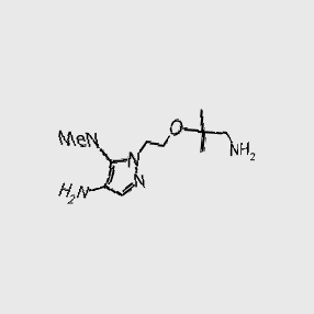 CNc1c(N)cnn1CCOC(C)(C)CN